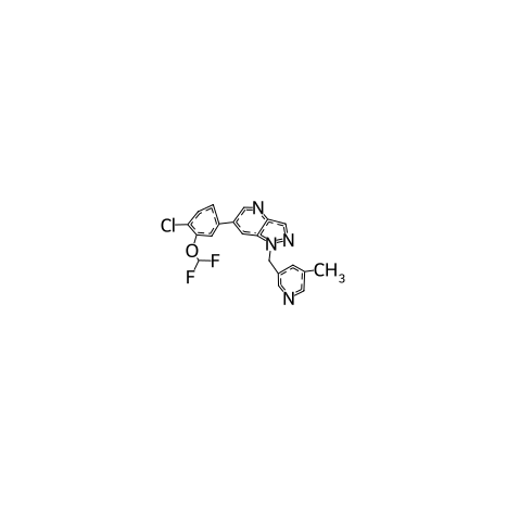 Cc1cncc(Cn2ncc3ncc(-c4ccc(Cl)c(OC(F)F)c4)cc32)c1